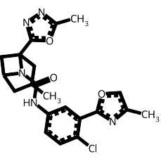 Cc1coc(-c2cc(NC(=O)N3C4CC(C)CC3(c3nnc(C)o3)C4)ccc2Cl)n1